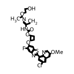 C=C/C(=C\N=C(/C)OCCO)NC(=O)OC1CCC1Oc1cc2sc(-c3cc(Cl)cc4cc(OC)cnc34)nc2cc1F